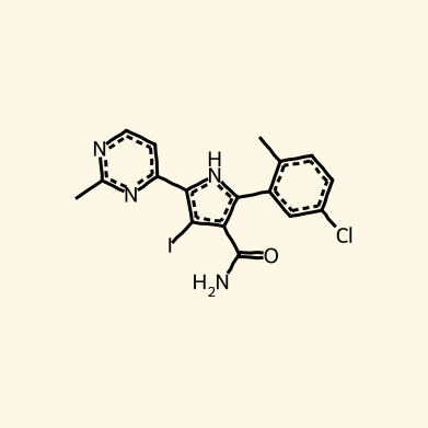 Cc1nccc(-c2[nH]c(-c3cc(Cl)ccc3C)c(C(N)=O)c2I)n1